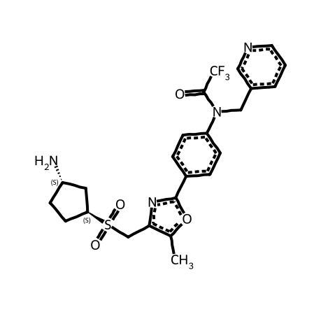 Cc1oc(-c2ccc(N(Cc3cccnc3)C(=O)C(F)(F)F)cc2)nc1CS(=O)(=O)[C@H]1CC[C@H](N)C1